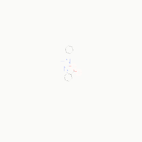 CCCCc1ccc2nc(NCc3ccccc3)oc(=O)c2c1